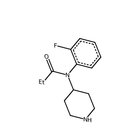 CCC(=O)N(c1ccccc1F)C1CCNCC1